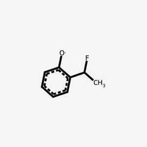 CC(F)c1ccccc1[O]